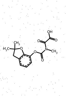 CN(C(=O)Oc1cccc2c1OC(C)(C)C2)C(=O)C(=O)O